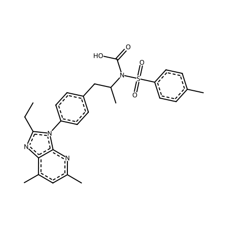 CCc1nc2c(C)cc(C)nc2n1-c1ccc(CC(C)N(C(=O)O)S(=O)(=O)c2ccc(C)cc2)cc1